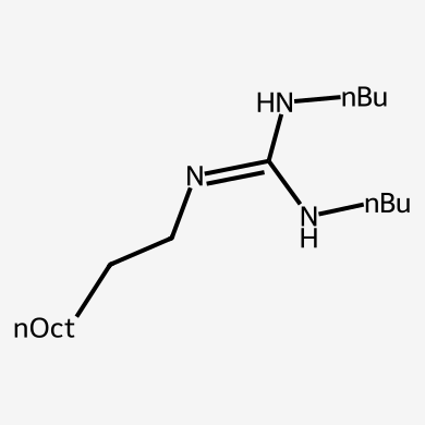 CCCCCCCCCCN=C(NCCCC)NCCCC